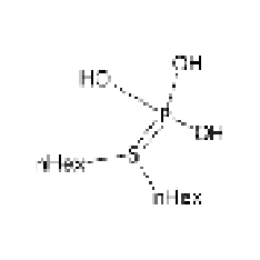 CCCCCCS(CCCCCC)=P(O)(O)O